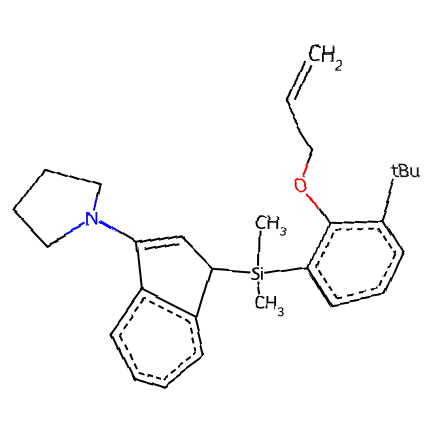 C=CCOc1c(C(C)(C)C)cccc1[Si](C)(C)C1C=C(N2CCCC2)c2ccccc21